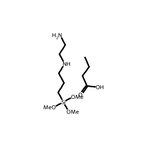 CCCC(=O)O.CO[Si](CCCNCCN)(OC)OC